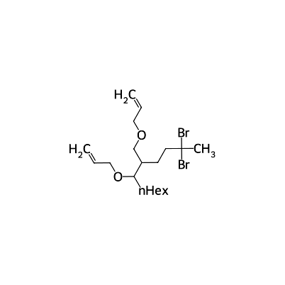 C=CCOCC(CCC(C)(Br)Br)C(CCCCCC)OCC=C